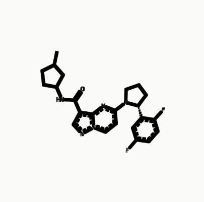 CC1CCC(NC(=O)c2cnn3ccc(N4CCC[C@@H]4c4cc(F)ccc4F)nc23)C1